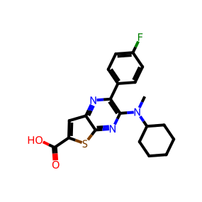 CN(c1nc2sc(C(=O)O)cc2nc1-c1ccc(F)cc1)C1CCCCC1